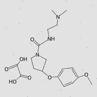 COc1ccc(OC2CCN(C(=O)NCCN(C)C)C2)cc1.O=C(O)C(=O)O